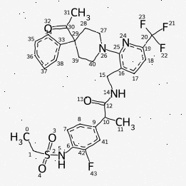 CCS(=O)(=O)Nc1ccc(C(C)C(=O)NCc2ccc(C(F)(F)F)nc2N2CCC(C(C)=O)(c3ccccc3)CC2)cc1F